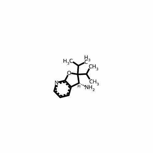 CC(C)C1(C(C)C)Oc2ncccc2[C@H]1N